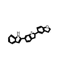 c1ccc2[nH]c(-c3ccc4c(c3)SC(c3ccc5c(c3)CCO5)C4)cc2c1